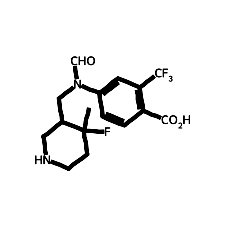 CC1(F)CCNCC1CN(C=O)c1ccc(C(=O)O)c(C(F)(F)F)c1